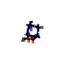 C=Cc1c(C)c2cc3nc(c4c5[nH]c(cc6nc(cc1[nH]2)C(C)=C6CC)c(C)c5C(=O)[C@@H]4C(=O)OC)[C@@H](CCC(C)=O)[C@@H]3C